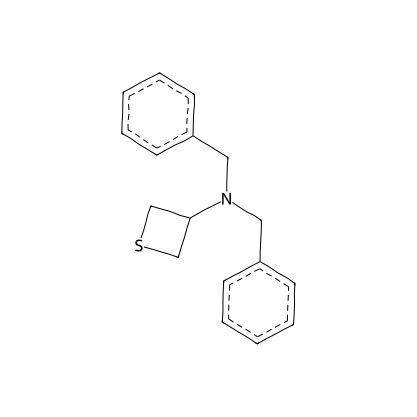 c1ccc(CN(Cc2ccccc2)C2CSC2)cc1